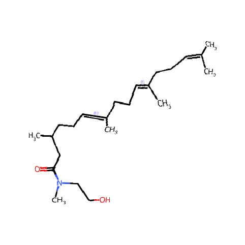 CC(C)=CCC/C(C)=C/CC/C(C)=C/CCC(C)CC(=O)N(C)CCO